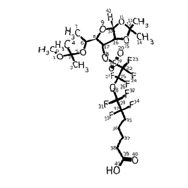 COC(C)(C)OC(C)[C@H]1O[C@@H]2OC(C)(C)OC2C1OS(=O)(=O)C(F)(F)C(F)(F)OC(F)(F)C(F)(F)CCCCC(=O)O